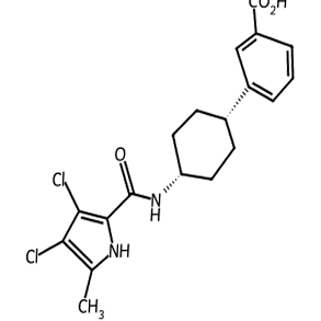 Cc1[nH]c(C(=O)N[C@H]2CC[C@@H](c3cccc(C(=O)O)c3)CC2)c(Cl)c1Cl